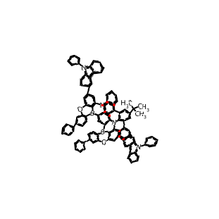 CC(C)(C)c1cc(-c2ccccc2)c(N2c3cc4c(cc3B3c5ccc(-c6ccccc6)cc5Oc5cc(-c6ccc7c(c6)c6ccccc6n7-c6ccccc6)cc2c53)B2c3ccc(-c5ccccc5)cc3Oc3cc(-c5ccc6c(c5)c5ccccc5n6-c5ccccc5)cc(c32)N4c2ccccc2)c(-c2ccccc2)c1